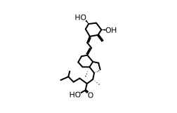 C=C1/C(=C\C=C2CCC[C@@]3(C)C2CC[C@@H]3[C@H](C)C(CCC(C)C)C(=O)O)C[C@@H](O)C[C@H]1O